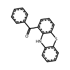 O=C(c1ccccc1)c1cccc2c1Nc1ccccc1S2